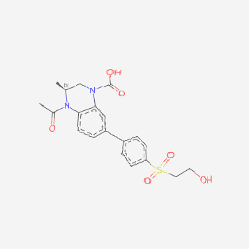 CC(=O)N1c2ccc(-c3ccc(S(=O)(=O)CCO)cc3)cc2N(C(=O)O)C[C@@H]1C